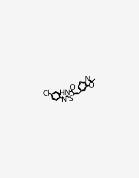 Cc1nc2ccc(C=C3SC(=Nc4ccc(Cl)cc4)NC3=O)cc2o1